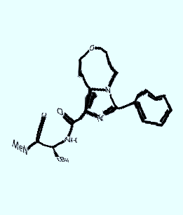 CNC(=O)[C@@H](NC(=O)c1nc(-c2ccccc2)n2c1CCOCC2)C(C)(C)C